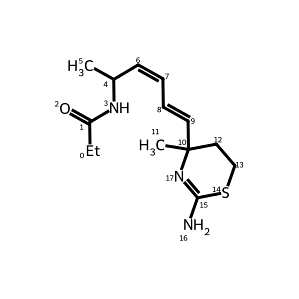 CCC(=O)NC(C)/C=C\C=C\C1(C)CCSC(N)=N1